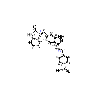 O=C1Nc2ncccc2/C1=C\c1ccc2c(/C=C/c3ccc(C(=O)O)cc3)n[nH]c2c1